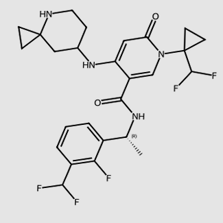 C[C@@H](NC(=O)c1cn(C2(C(F)F)CC2)c(=O)cc1NC1CCNC2(CC2)C1)c1cccc(C(F)F)c1F